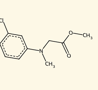 COC(=O)CN(C)c1cccc(Cl)c1